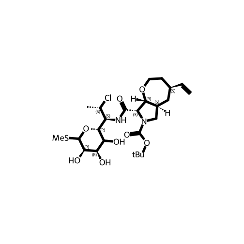 C=C[C@@H]1CCO[C@@H]2[C@@H](C1)CN(C(=O)OC(C)(C)C)[C@@H]2C(=O)N[C@H]([C@H](C)Cl)[C@H]1OC(SC)[C@H](O)[C@H](O)C1O